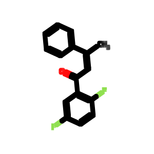 CC(=CC(=O)c1cc(F)ccc1F)c1ccccc1